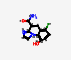 NC(=O)c1cc2c(F)ccc(O)c2n2ccnc12